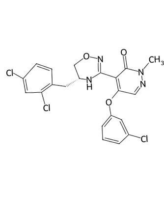 Cn1ncc(Oc2cccc(Cl)c2)c(C2=NOC[C@@H](Cc3ccc(Cl)cc3Cl)N2)c1=O